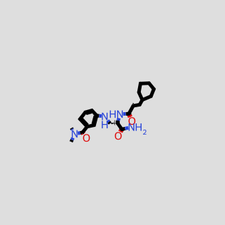 CN(C)C(=O)c1cccc(NC[C@H](NC(=O)[CH]CC2CCCCC2)C(N)=O)c1